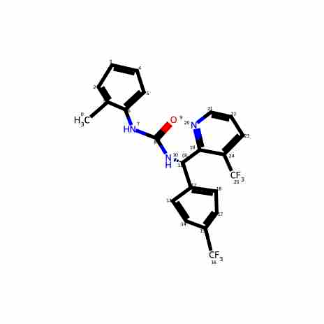 Cc1ccccc1NC(=O)N[C@@H](c1ccc(C(F)(F)F)cc1)c1ncccc1C(F)(F)F